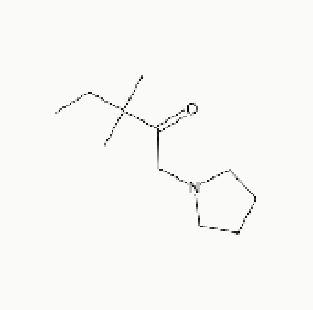 CCC(C)(C)C(=O)CN1CCCC1